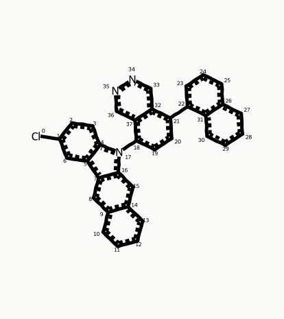 Clc1ccc2c(c1)c1cc3ccccc3cc1n2-c1ccc(-c2cccc3ccccc23)c2cnncc12